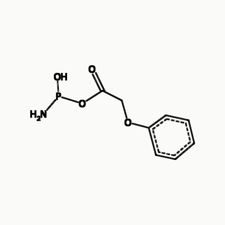 NP(O)OC(=O)COc1ccccc1